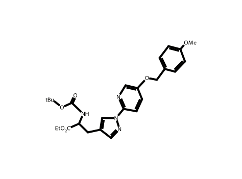 CCOC(=O)C(Cc1cnn(-c2ccc(OCc3ccc(OC)cc3)cn2)c1)NC(=O)OC(C)(C)C